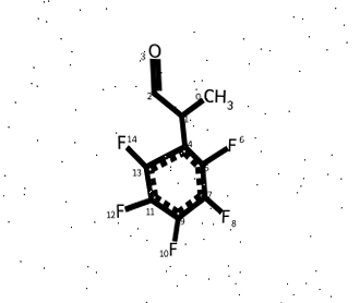 CC(C=O)c1c(F)c(F)c(F)c(F)c1F